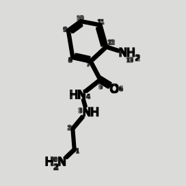 NCCNNC(=O)c1ccccc1N